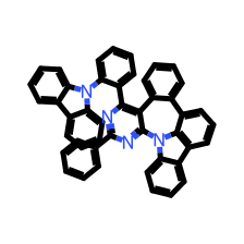 c1ccc(-c2nc(-c3ccccc3-n3c4ccccc4c4ccccc43)c3c(n2)-n2c4ccccc4c4cccc(c42)-c2ccccc2-3)cc1